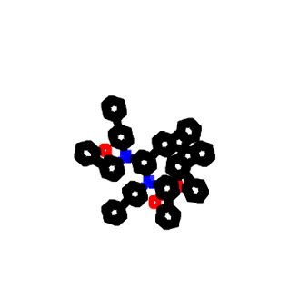 c1ccc(-c2ccc(N(c3cc(-c4ccc5c(c4)C4(c6ccccc6-5)c5ccccc5-c5c4ccc4oc6ccccc6c54)cc(N(c4ccc(-c5ccccc5)cc4)c4cccc5c4oc4ccccc45)c3)c3cccc4c3oc3ccccc34)cc2)cc1